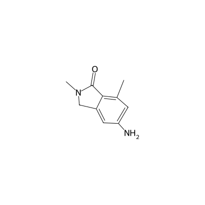 Cc1cc(N)cc2c1C(=O)N(C)C2